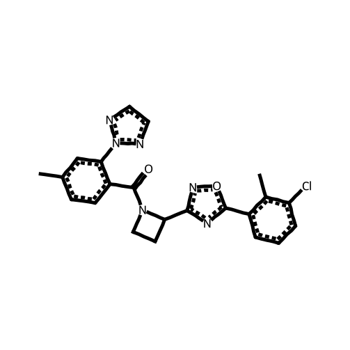 Cc1ccc(C(=O)N2CCC2c2noc(-c3cccc(Cl)c3C)n2)c(-n2nccn2)c1